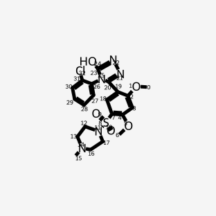 COc1cc(OC)c(S(=O)(=O)N2CCN(C)CC2)cc1-c1nnc(O)n1-c1ccccc1Cl